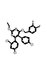 CCOc1nc(OCc2ccc(F)c(F)c2)c(-c2ccc(Cl)cc2)c(-c2ccc(Cl)cc2Cl)n1